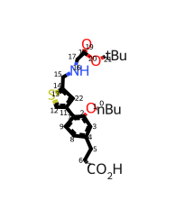 CCCCOc1cc(CCC(=O)O)ccc1-c1csc(CNCC(=O)OC(C)(C)C)c1